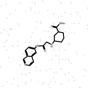 CNC(=O)C1CCCC(NCC(=O)Nc2ccc3cnccc3c2)C1